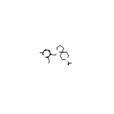 CCOC(=O)Cc1nc(C(F)(F)F)ccc1CN1CCCC12CCN(C(=O)OC(C)(C)C)CC2